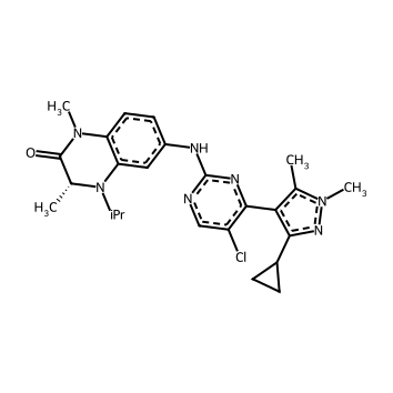 Cc1c(-c2nc(Nc3ccc4c(c3)N(C(C)C)[C@H](C)C(=O)N4C)ncc2Cl)c(C2CC2)nn1C